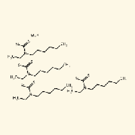 CCCCCCN(CC)C(=S)[S-].CCCCCCN(CC)C(=S)[S-].CCCCCCN(CC)C(=S)[S-].CCCCCCN(CC)C(=S)[S-].[Mo+4]